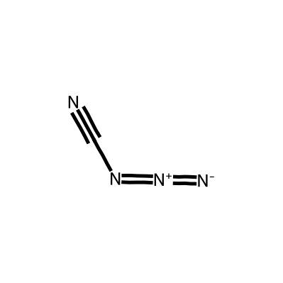 N#CN=[N+]=[N-]